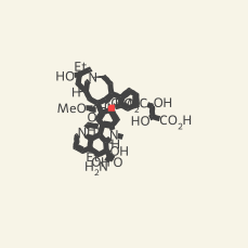 CC[C@]1(O)C[C@H]2C[N@](CCc3c([nH]c4ccccc34)[C@@](C(=O)OC)(c3cc4c(cc3OC)N(C)[C@H]3[C@@](O)(C(N)=O)[C@H](O)[C@]5(CC)C=CCN6CC[C@]43[C@@H]65)C2)C1.O=C(O)C(O)C(O)C(=O)O